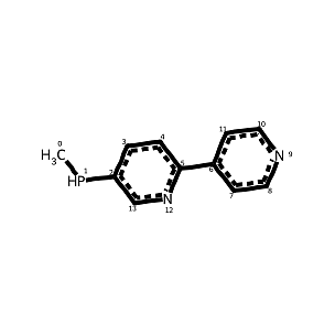 CPc1ccc(-c2ccncc2)nc1